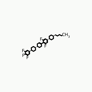 CCCCC[C@H]1CC[C@H](c2cc(F)c(C3=CCC([C@H]4CC[C@H](c5cc(F)c(F)c(F)c5)CC4)CC3)c(F)c2)CC1